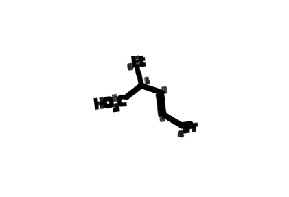 CCC(C=CC(C)C)C(=O)O